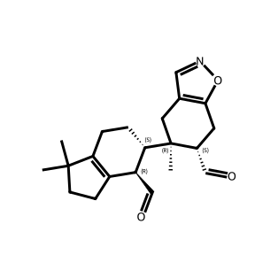 CC1(C)CCC2=C1CC[C@H]([C@@]1(C)Cc3cnoc3C[C@@H]1C=O)[C@H]2C=O